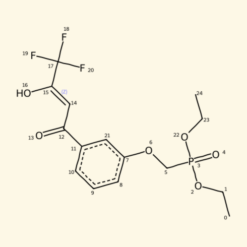 CCOP(=O)(COc1cccc(C(=O)/C=C(\O)C(F)(F)F)c1)OCC